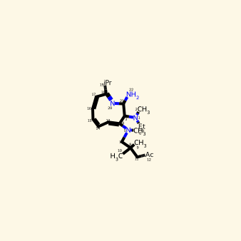 CCN(C)C1/C(N(C)CC(C)(C)CC(C)=O)=C/C=C\C=C/C(C(C)C)=N/C1N